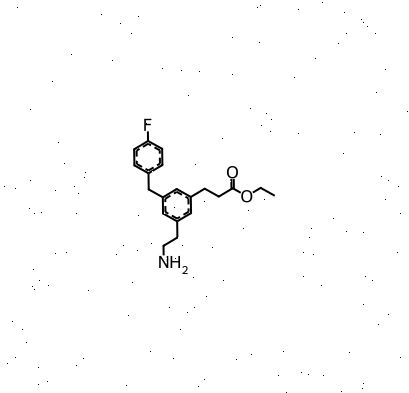 CCOC(=O)CCc1cc(CCN)cc(Cc2ccc(F)cc2)c1